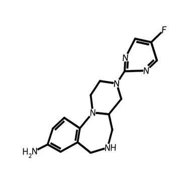 Nc1ccc2c(c1)CNCC1CN(c3ncc(F)cn3)CCN21